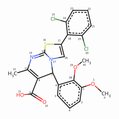 COc1cccc(C2C(C(=O)O)=C(C)N=C3SC(c4c(Cl)cccc4Cl)=CN32)c1OC